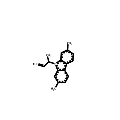 C=CC(C)n1c2cc(C)ccc2c2ccc(C)cc21